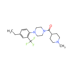 CCc1ccc(N2CCN(C(=O)C3CCN(C)CC3)CC2)c(C(F)(F)F)c1